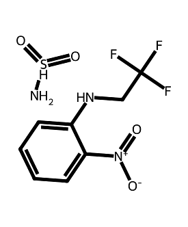 N[SH](=O)=O.O=[N+]([O-])c1ccccc1NCC(F)(F)F